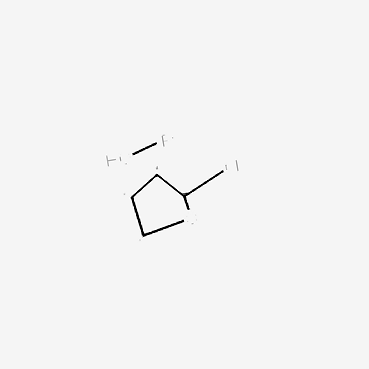 CC(C)O.CC1CCCO1